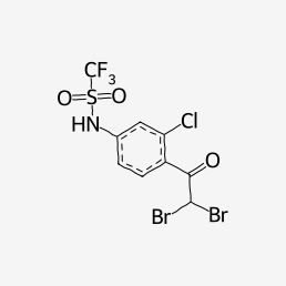 O=C(c1ccc(NS(=O)(=O)C(F)(F)F)cc1Cl)C(Br)Br